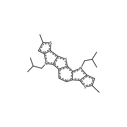 Cc1cc2c(s1)c1ccc3c(sc4c5sc(C)cc5n(CC(C)C)c34)c1n2CC(C)C